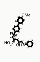 COc1ccc(-c2ccc(C(F)(F)CC(CC(O)CSc3ccccc3)C(=O)O)cc2)cc1